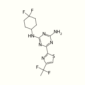 CC(F)(F)c1csc(-c2nc(N)nc(NC3CCC(F)(F)CC3)n2)n1